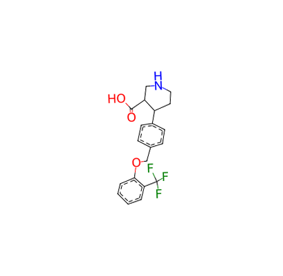 O=C(O)C1CNCCC1c1ccc(COc2ccccc2C(F)(F)F)cc1